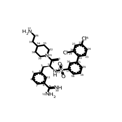 C=C([C@H](Cc1cccc(C(=N)N)c1)NS(=O)(=O)c1cccc(-c2ccc(Cl)cc2Cl)c1)N1CCC(CCN)CC1